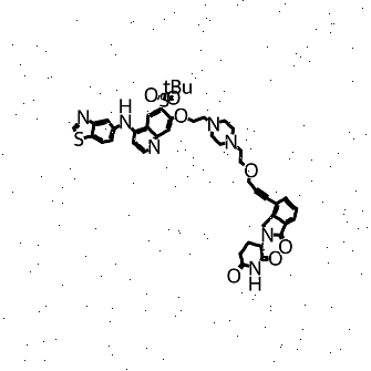 CC(C)(C)S(=O)(=O)c1cc2c(Nc3ccc4scnc4c3)ccnc2cc1OCCN1CCN(CCOCC#Cc2cccc3c2CN([C@H]2CCC(=O)NC2=O)C3=O)CC1